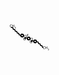 CCCCCCCCCCc1ccc(OC(=O)c2ccc(OC(=O)c3ccc(CCCCCCC)cc3)cc2F)cc1